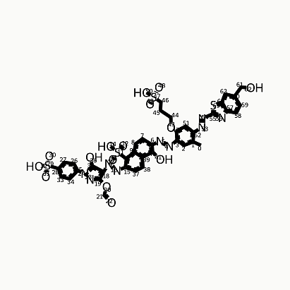 Cc1cc(N=Nc2ccc3c(S(=O)(=O)O)c(N=Nc4c(OC=O)nn(-c5ccc(S(=O)(=O)O)cc5)c4O)ccc3c2O)c(OCCCS(=O)(=O)O)cc1N=Nc1nc2ccc(CO)cc2s1